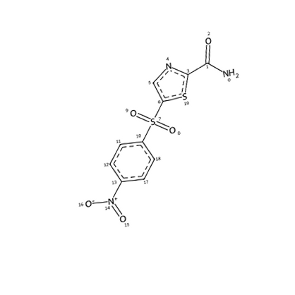 NC(=O)c1ncc(S(=O)(=O)c2ccc([N+](=O)[O-])cc2)s1